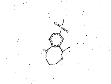 CC1SCCCNc2ccc(S(C)(=O)=O)cc21